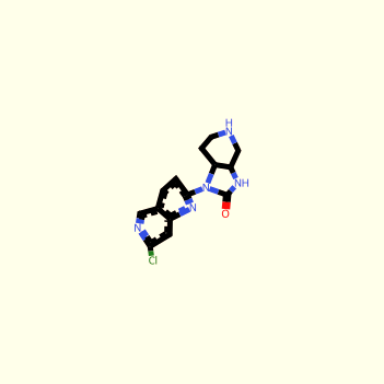 O=C1NC2CNCCC2N1c1ccc2cnc(Cl)cc2n1